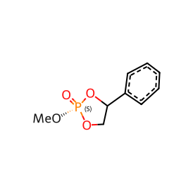 CO[P@@]1(=O)OCC(c2ccccc2)O1